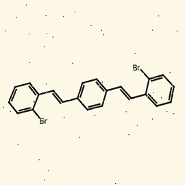 Brc1ccccc1/C=C/c1ccc(/C=C/c2ccccc2Br)cc1